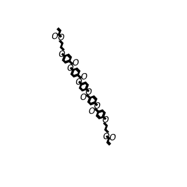 C=CC(=O)OCCCCOc1ccc(C(=O)Oc2ccc(C(=O)OC3=CC=C(OC(=O)c4ccc(OC(=O)c5ccc(OCCCCOC(=O)C=C)cc5)cc4)CC3)cc2)cc1